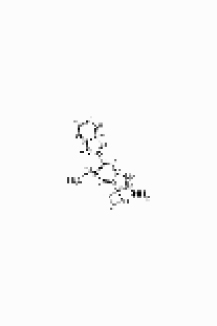 COc1cc2c(cc1-c1cc3ccccc3[nH]1)N=C(N)C21CCC1